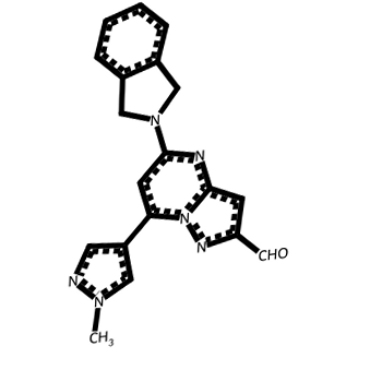 Cn1cc(-c2cc(N3Cc4ccccc4C3)nc3cc(C=O)nn23)cn1